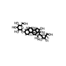 CC[C@H]1[C@H](O)[C@H]([C@@H](CO)[C@@]2(O)[C@@H](O)C[C@H]3C4=CC[C@H]5C[C@@H](O[C@@H]6O[C@H](CO)[C@@H](O)[C@H](O)[C@H]6O)CC[C@]5(C)[C@H]4CC[C@@]32C)O[C@]1(C)CO